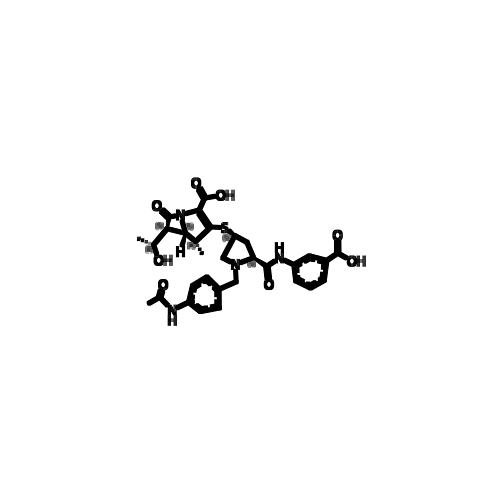 CC(=O)Nc1ccc(CN2C[C@@H](SC3=C(C(=O)O)N4C(=O)[C@H]([C@@H](C)O)[C@H]4[C@H]3C)C[C@H]2C(=O)Nc2cccc(C(=O)O)c2)cc1